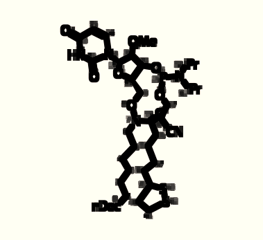 CCCCCCCCCCCCCCCCN(OC[C@H]1O[C@@H](n2ccc(=O)[nH]c2=O)C(OC)C1OP(OCCC#N)N(C(C)C)C(C)C)C(=O)CCCCC1CCSS1